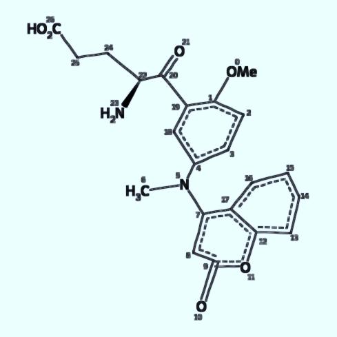 COc1ccc(N(C)c2cc(=O)oc3ccccc23)cc1C(=O)[C@@H](N)CCC(=O)O